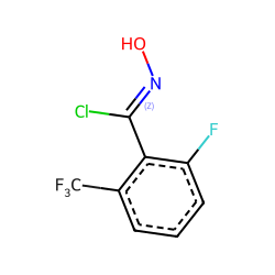 O/N=C(\Cl)c1c(F)cccc1C(F)(F)F